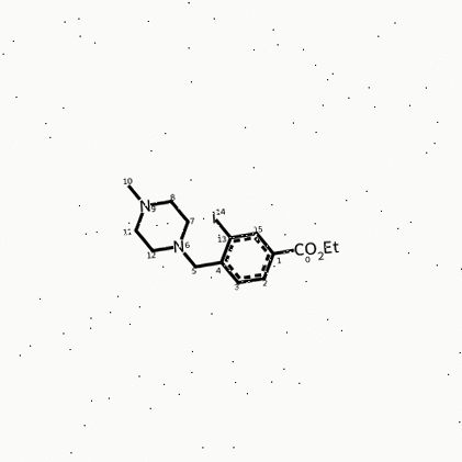 CCOC(=O)c1ccc(CN2CCN(C)CC2)c(I)c1